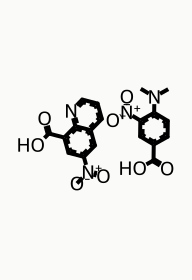 CN(C)c1ccc(C(=O)O)cc1[N+](=O)[O-].O=C(O)c1cc([N+](=O)[O-])cc2cccnc12